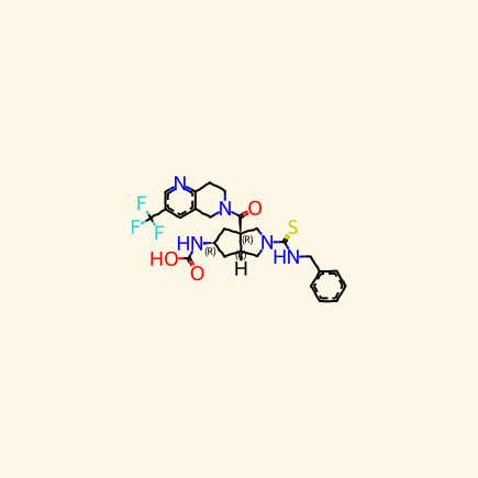 O=C(O)N[C@@H]1C[C@H]2CN(C(=S)NCc3ccccc3)C[C@@]2(C(=O)N2CCc3ncc(C(F)(F)F)cc3C2)C1